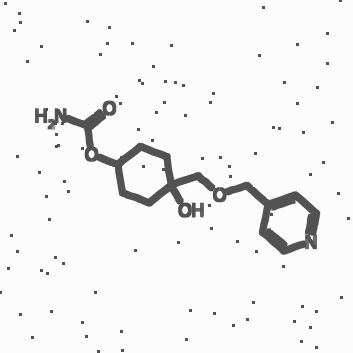 NC(=O)OC1CCC(O)(COCc2ccncc2)CC1